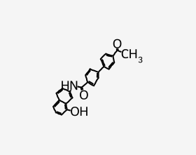 CC(=O)c1ccc(-c2ccc(C(=O)Nc3ccc4cccc(O)c4c3)cc2)cc1